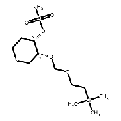 C[Si](C)(C)CCOCO[C@@H]1CSCC[C@@H]1OS(C)(=O)=O